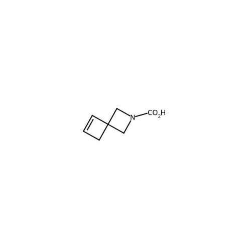 O=C(O)N1CC2(C=CC2)C1